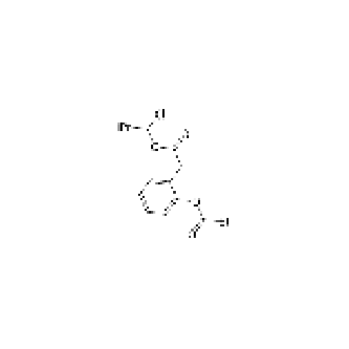 CCC(=O)Oc1ccccc1CC(=O)OC(Cl)C(C)C